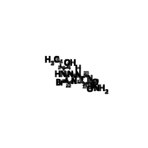 CCCC(CO)Nc1nc(Nc2ccc(S(N)(=O)=O)nc2)ncc1Br